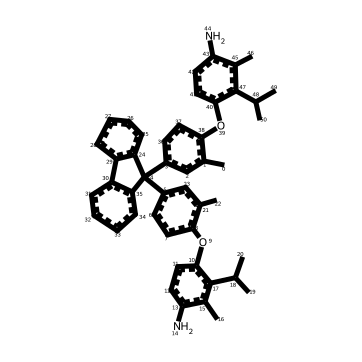 Cc1cc(C2(c3ccc(Oc4ccc(N)c(C)c4C(C)C)c(C)c3)c3ccccc3-c3ccccc32)ccc1Oc1ccc(N)c(C)c1C(C)C